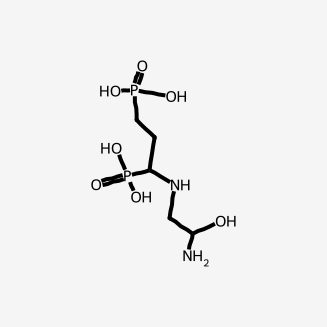 NC(O)CNC(CCP(=O)(O)O)P(=O)(O)O